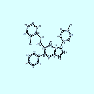 Cc1ccc(-c2nnc3cc(-c4ccccc4)c(OCc4ncccc4C)nn23)cc1